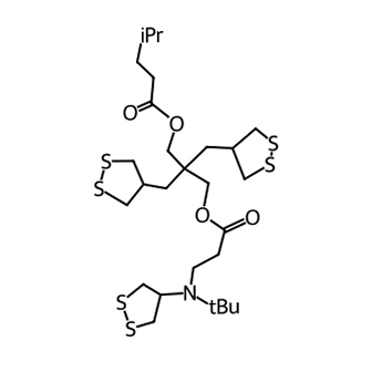 CC(C)CCC(=O)OCC(COC(=O)CCN(C1CSSC1)C(C)(C)C)(CC1CSSC1)CC1CSSC1